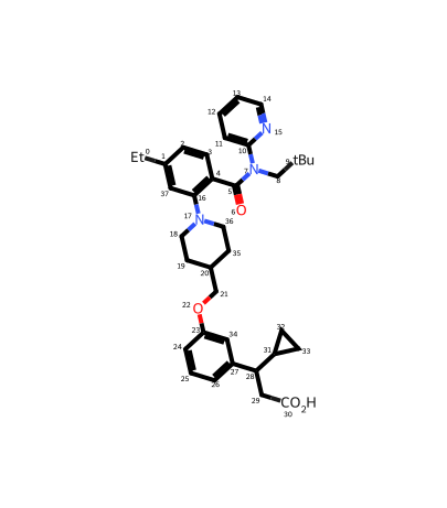 CCc1ccc(C(=O)N(CC(C)(C)C)c2ccccn2)c(N2CCC(COc3cccc(C(CC(=O)O)C4CC4)c3)CC2)c1